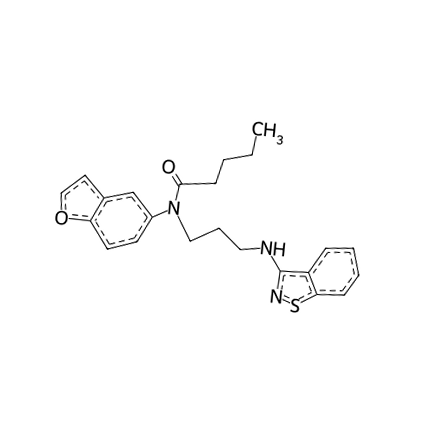 CCCCC(=O)N(CCCNc1nsc2ccccc12)c1ccc2occc2c1